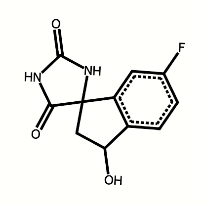 O=C1NC(=O)C2(CC(O)c3ccc(F)cc32)N1